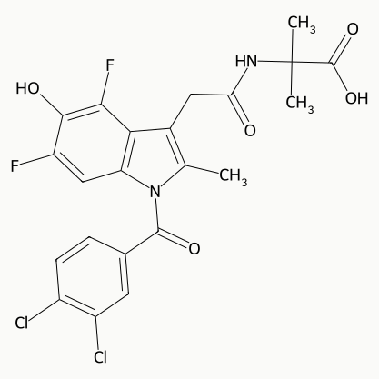 Cc1c(CC(=O)NC(C)(C)C(=O)O)c2c(F)c(O)c(F)cc2n1C(=O)c1ccc(Cl)c(Cl)c1